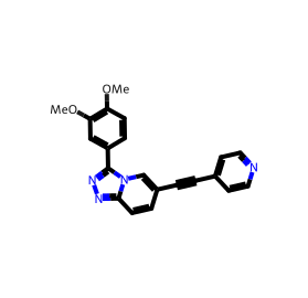 COc1ccc(-c2nnc3ccc(C#Cc4ccncc4)cn23)cc1OC